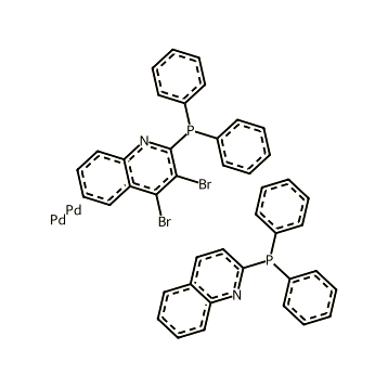 Brc1c(P(c2ccccc2)c2ccccc2)nc2ccccc2c1Br.[Pd].[Pd].c1ccc(P(c2ccccc2)c2ccc3ccccc3n2)cc1